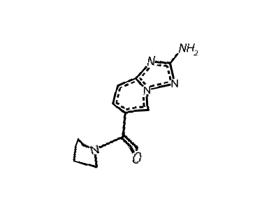 Nc1nc2ccc(C(=O)N3CCC3)cn2n1